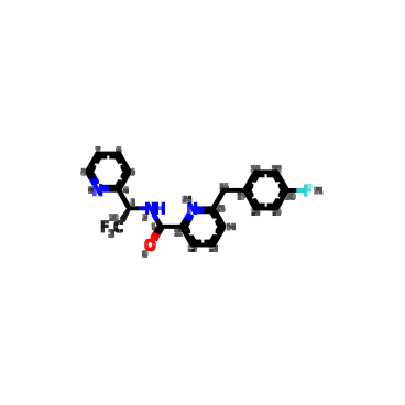 O=C(N[C@H](c1ccccn1)C(F)(F)F)c1cccc(Cc2ccc(F)cc2)n1